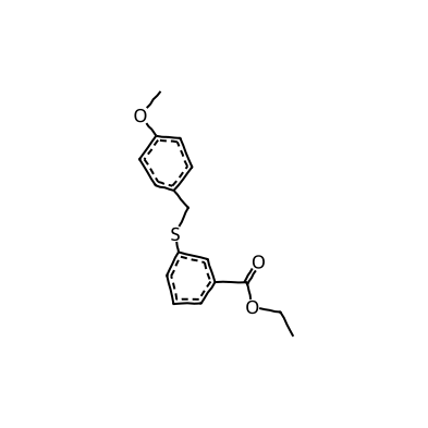 CCOC(=O)c1cccc(SCc2ccc(OC)cc2)c1